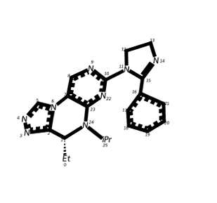 CC[C@@H]1c2nncn2-c2cnc(N3CCN=C3c3ccccc3)nc2N1C(C)C